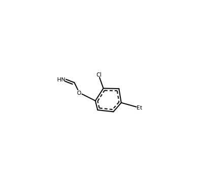 CCc1ccc(OC=N)c(Cl)c1